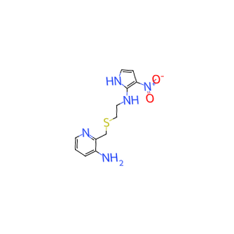 Nc1cccnc1CSCCNc1[nH]ccc1[N+](=O)[O-]